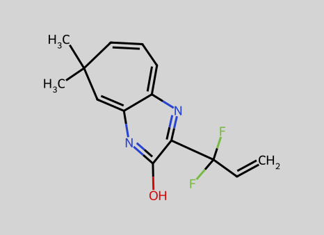 C=CC(F)(F)c1nc2c(nc1O)=CC(C)(C)C=CC=2